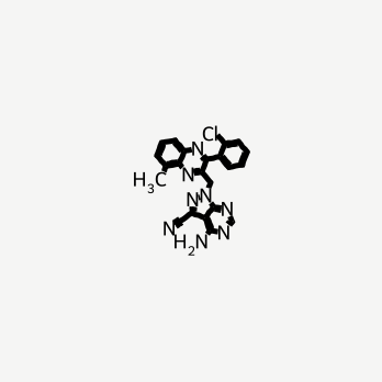 Cc1cccc2nc(-c3ccccc3Cl)c(Cn3nc(C#N)c4c(N)ncnc43)nc12